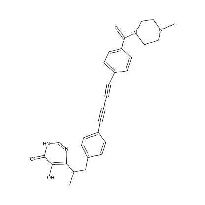 CC(Cc1ccc(C#CC#Cc2ccc(C(=O)N3CCN(C)CC3)cc2)cc1)c1nc[nH]c(=O)c1O